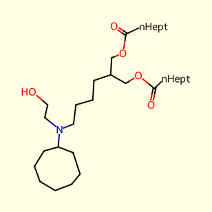 CCCCCCCC(=O)OCC(CCCCN(CCO)C1CCCCCCC1)COC(=O)CCCCCCC